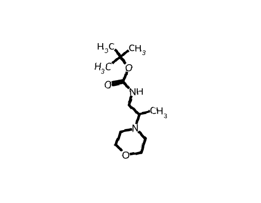 CC(CNC(=O)OC(C)(C)C)N1CCOCC1